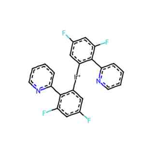 Fc1cc(F)c(-c2ccccn2)[c]([Ir+][c]2cc(F)cc(F)c2-c2ccccn2)c1